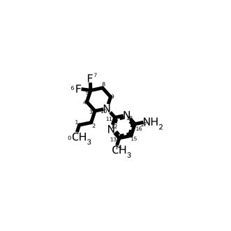 CCCC1CC(F)(F)CCN1c1nc(C)cc(N)n1